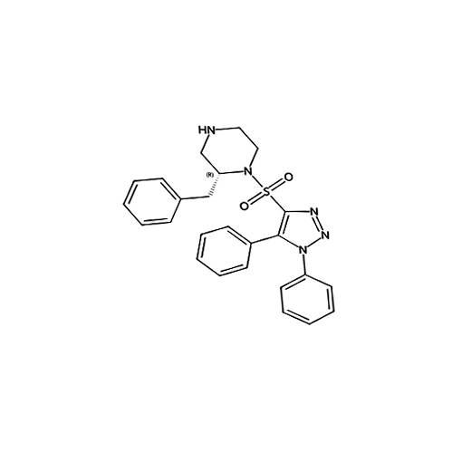 O=S(=O)(c1nnn(-c2ccccc2)c1-c1ccccc1)N1CCNC[C@H]1Cc1ccccc1